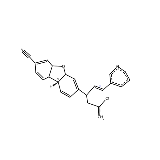 C=C(Cl)CC(/C=C/c1cccnc1)C1=CC2OC3C=C(C#N)C=CC3[C@H]2C=C1